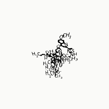 C=CCNC(=O)[C@@]1(NC(=O)[C@@H]2C[C@@H](Oc3cc(-c4csc(NC(C)C)n4)nc4cc(OC)ccc34)CN2C(=O)[C@@H](NC(=O)N[C@H](CN(C)[S+]([O-])N(C)C)C(C)(C)C)C(C)(C)C)CC1C=C